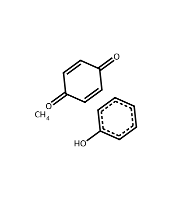 C.O=C1C=CC(=O)C=C1.Oc1ccccc1